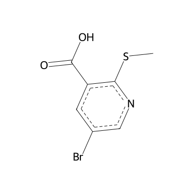 CSc1ncc(Br)cc1C(=O)O